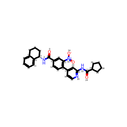 O=C(N[C@H]1CCCc2ccccc21)c1ccc(-c2ccnc(NC(=O)C3CCCC3)c2)c([N+](=O)[O-])c1